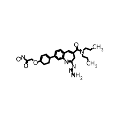 CCCN(CCC)C(=O)C1=Cc2ccc(C3=CC=C(OCC(=O)N=O)CC3)cc2N=C(N=NN)C1